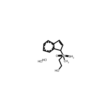 Cl.Cl.[CH3][Zr](=[O])(=[SiH2])([CH2]CO)[CH]1C=Cc2ccccc21